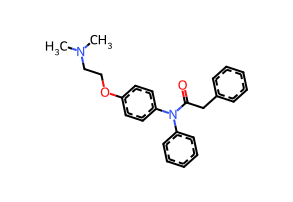 CN(C)CCOc1ccc(N(C(=O)Cc2ccccc2)c2ccccc2)cc1